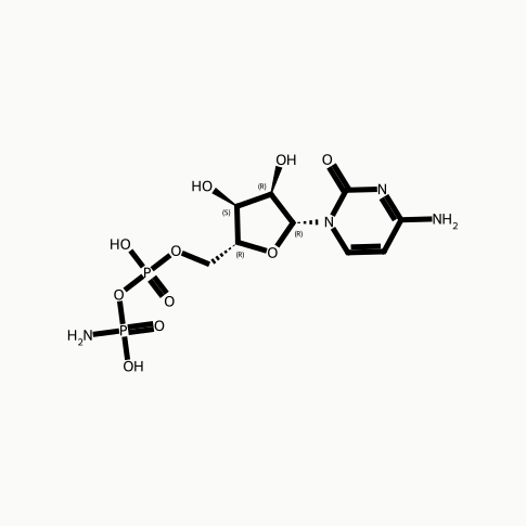 Nc1ccn([C@@H]2O[C@H](COP(=O)(O)OP(N)(=O)O)[C@@H](O)[C@H]2O)c(=O)n1